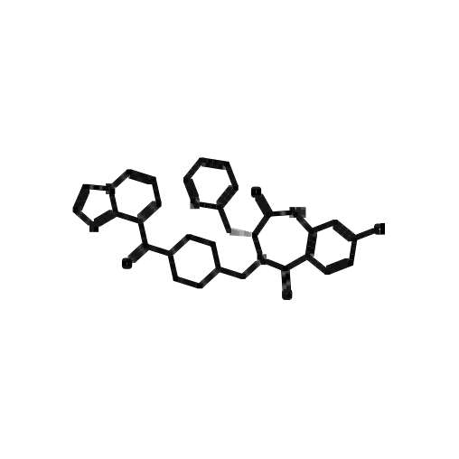 O=C(c1cccn2ccnc12)C1CCC(CN2C(=O)c3ccc(Cl)cc3NC(=O)[C@H]2Cc2ccccn2)CC1